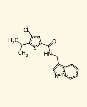 CC(C)c1sc(C(=O)NCc2cnn3ccccc23)cc1Cl